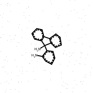 Nc1ccccc1C1(N)c2ccccc2-c2ccccc21